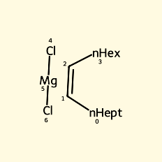 [CH2]CCCCCC/C=C\CCCCCC.[Cl][Mg][Cl]